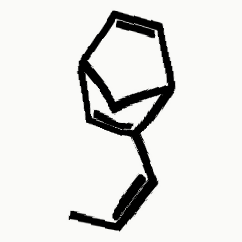 C/C=C\C1=CC2C=CC1C2